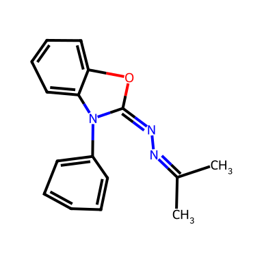 CC(C)=NN=c1oc2ccccc2n1-c1ccccc1